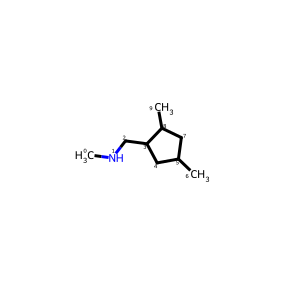 CNCC1CC(C)CC1C